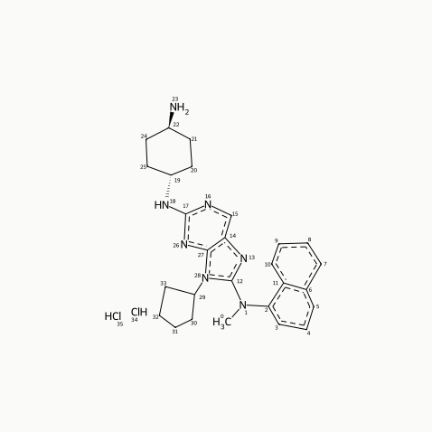 CN(c1cccc2ccccc12)c1nc2cnc(N[C@H]3CC[C@H](N)CC3)nc2n1C1CCCC1.Cl.Cl